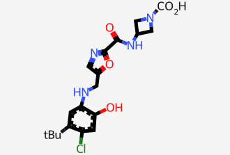 CC(C)(C)c1cc(NCc2cnc(C(=O)NC3CN(C(=O)O)C3)o2)c(O)cc1Cl